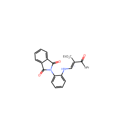 CCCC(=O)/C(=C/Nc1ccccc1N1C(=O)c2ccccc2C1=O)C(=O)OCC